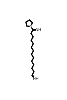 N=CCCCCCCCCCCCCC(=N)N1CCCC1